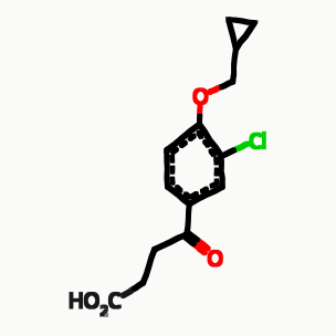 O=C(O)CCC(=O)c1ccc(OCC2CC2)c(Cl)c1